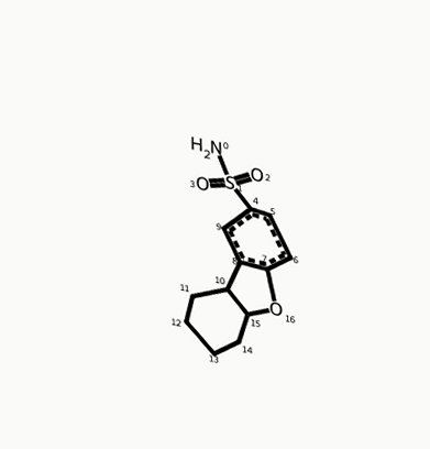 NS(=O)(=O)c1ccc2c(c1)C1CCCCC1O2